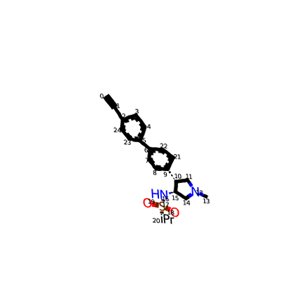 C#Cc1ccc(-c2ccc([C@@H]3CN(C)C[C@@H]3NS(=O)(=O)C(C)C)cc2)cc1